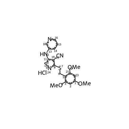 COc1cc(OC)c(CSc2nsc(Nc3cccnc3)c2C#N)c(OC)c1.Cl